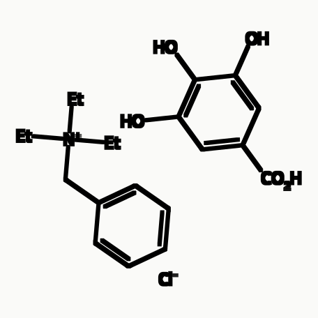 CC[N+](CC)(CC)Cc1ccccc1.O=C(O)c1cc(O)c(O)c(O)c1.[Cl-]